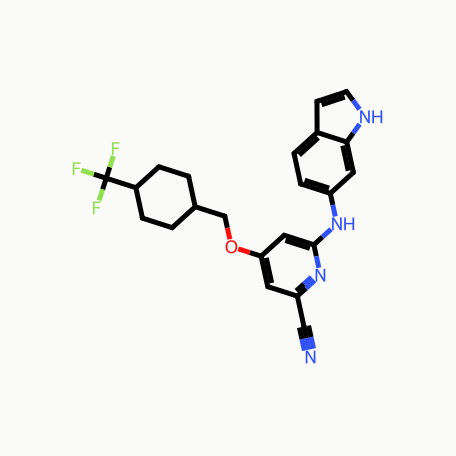 N#Cc1cc(OCC2CCC(C(F)(F)F)CC2)cc(Nc2ccc3cc[nH]c3c2)n1